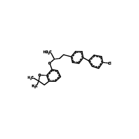 CC1(C)Cc2cccc(OC(CCc3ccc(-c4ccc(Cl)cc4)cc3)C(=O)O)c2O1